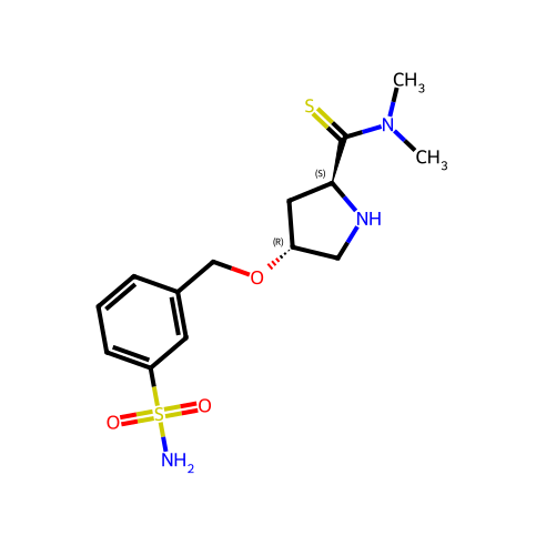 CN(C)C(=S)[C@@H]1C[C@@H](OCc2cccc(S(N)(=O)=O)c2)CN1